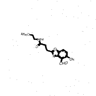 COCCNC(=O)CCc1nc2c(C=O)c(O)ccc2o1